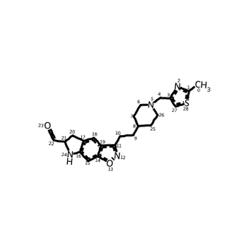 Cc1nc(CN2CCC(CCc3noc4cc5c(cc34)CC(C=O)N5)CC2)cs1